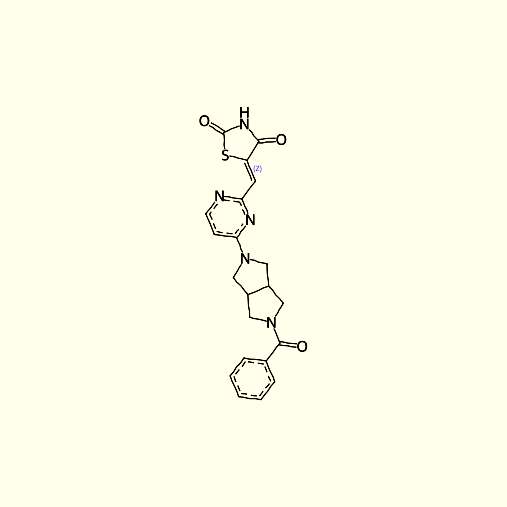 O=C1NC(=O)/C(=C/c2nccc(N3CC4CN(C(=O)c5ccccc5)CC4C3)n2)S1